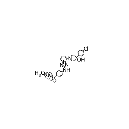 CN1CC2COCC1CN2C(=O)c1ccc(Nc2nc3c(N4CCC(O)(c5ccc(Cl)cc5)CC4)cccn3n2)cc1